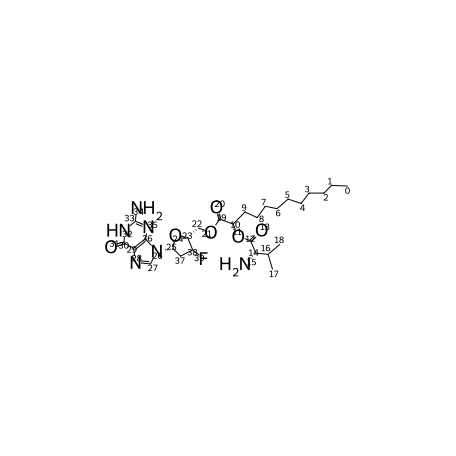 CCCCCCCCCCC(OC(=O)[C@@H](N)C(C)C)C(=O)OC[C@H]1O[C@@H](n2cnc3c(=O)[nH]c(N)nc32)CC1F